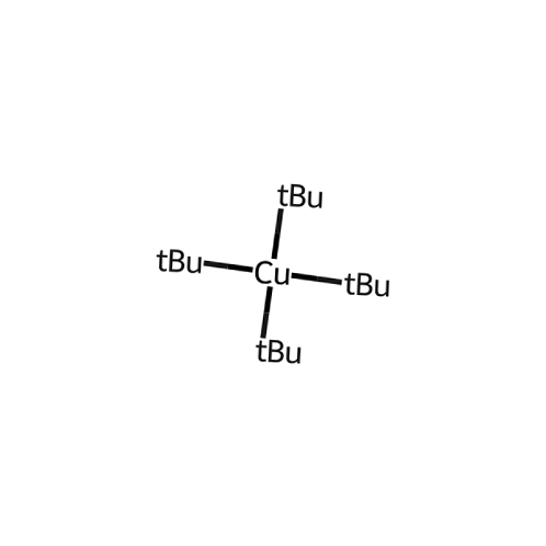 C[C](C)(C)[Cu]([C](C)(C)C)([C](C)(C)C)[C](C)(C)C